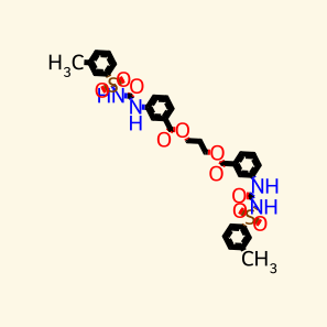 Cc1cccc(S(=O)(=O)NC(=O)Nc2cccc(C(=O)OCCCOC(=O)c3cccc(NC(=O)NS(=O)(=O)c4cccc(C)c4)c3)c2)c1